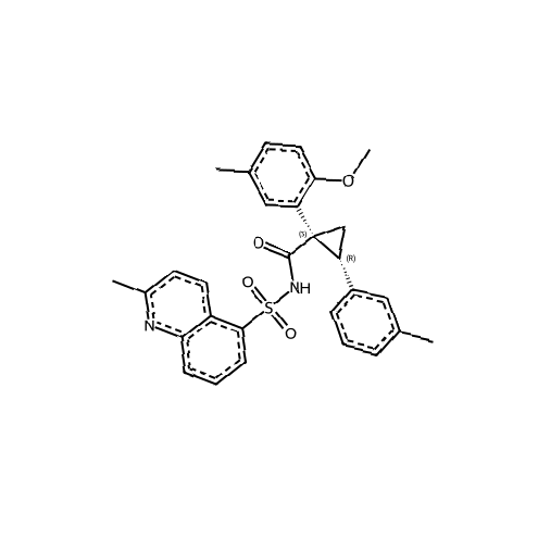 COc1ccc(C)cc1[C@]1(C(=O)NS(=O)(=O)c2cccc3nc(C)ccc23)C[C@@H]1c1cccc(C)c1